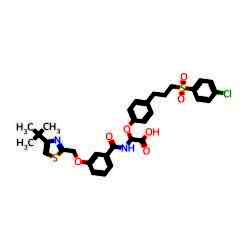 CC(C)(C)c1csc(COc2cccc(C(=O)NC(Oc3ccc(CCCS(=O)(=O)c4ccc(Cl)cc4)cc3)C(=O)O)c2)n1